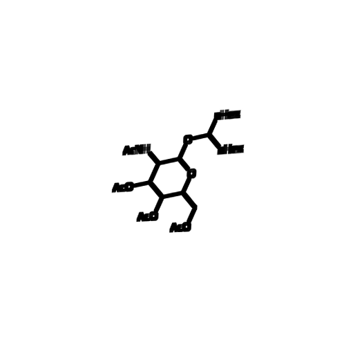 CCCCCCC(CCCCCC)OC1OC(COC(C)=O)C(OC(C)=O)C(OC(C)=O)C1NC(C)=O